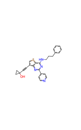 OC1(C#Cc2csc3c(NCCCc4ccccc4)nc(-c4ccncc4)nc23)CC1